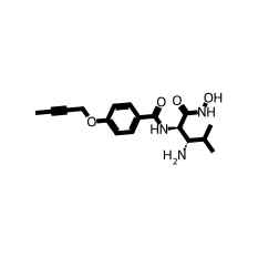 CC#CCOc1ccc(C(=O)N[C@@H](C(=O)NO)[C@@H](N)C(C)C)cc1